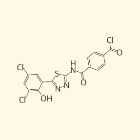 O=C(Cl)c1ccc(C(=O)Nc2nnc(-c3cc(Cl)cc(Cl)c3O)s2)cc1